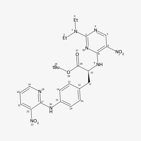 CCN(CC)c1ncc([N+](=O)[O-])c(N[C@@H](Cc2ccc(Nc3ncccc3[N+](=O)[O-])cc2)C(=O)OC(C)(C)C)n1